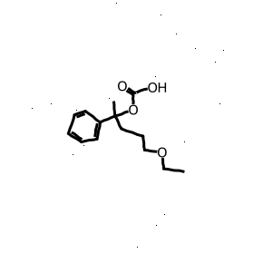 CCOCCCC(C)(OC(=O)O)c1ccccc1